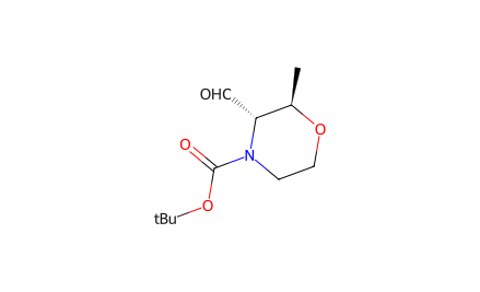 C[C@H]1OCCN(C(=O)OC(C)(C)C)[C@@H]1C=O